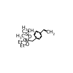 C=Cc1ccc(C[Si](OCC)(OCC)O[Si](C)(C)C)cc1